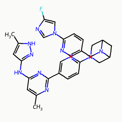 Cc1cc(Nc2cc(C)[nH]n2)nc(-c2ccc(N3CC4CC(C3)N4Cc3ccc(-n4cnc(F)c4)nc3)nc2)n1